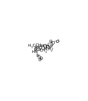 C=C(C)[C@@H]1CC[C@]2(NCCN3CCS(=O)(=O)CC3)CC[C@]3(C)[C@H](CC[C@@H]4[C@@]5(C)CC=C(C6=CC[C@](CF)(C(=O)OCc7ccccc7)CC6)C(C)(C)[C@@H]5CC[C@]43C)[C@@H]12